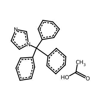 CC(=O)O.c1ccc(C(c2ccccc2)(c2ccccc2)n2ccnc2)cc1